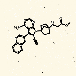 C#Cc1c(-c2cnc3ccccc3c2)c2c(N)ncnc2n1C12CCC(NCC(=O)OC)(CC1)C2